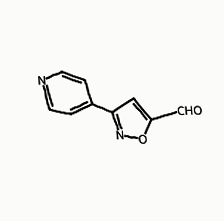 O=Cc1cc(-c2ccncc2)no1